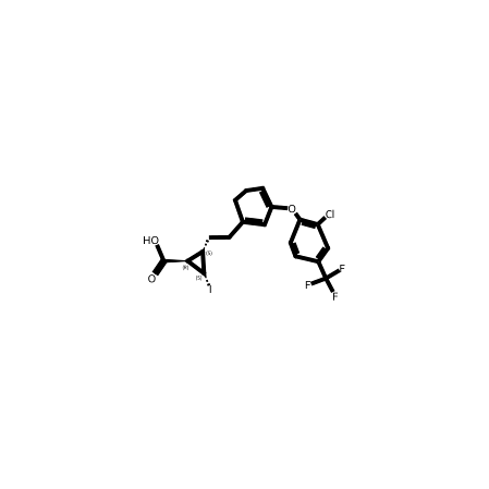 O=C(O)[C@@H]1[C@@H](I)[C@H]1CCC1=CC(Oc2ccc(C(F)(F)F)cc2Cl)=CCC1